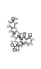 CCC(NC(=O)O)c1nc2cccc(Cl)c2c(=O)n1N1CCN(Cc2ccc(OC)cc2)CC1